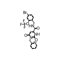 O=C(NCc1ccc(Br)cc1OC(F)(F)F)c1cc(=O)n(Cc2ccccn2)c(=O)[nH]1